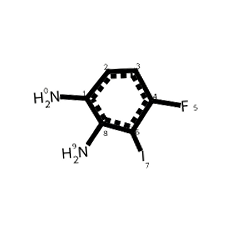 Nc1ccc(F)c(I)c1N